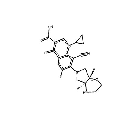 N#Cc1c(N2C[C@@H]3NCCO[C@H]3C2)c(F)cc2c(=O)c(C(=O)O)cn(C3CC3)c12